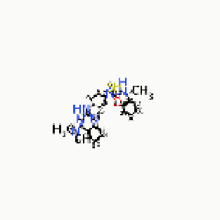 C[C@@H](NC(=O)N(S)C1CCC(Nc2nc(N(C)C)c3ccccc3n2)CC1)c1ccccc1